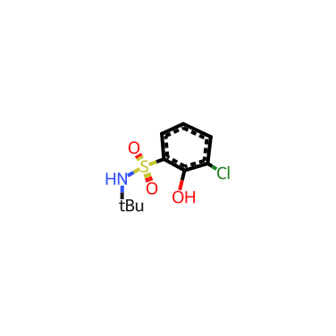 CC(C)(C)NS(=O)(=O)c1cccc(Cl)c1O